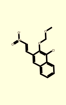 COCOc1c(C=C[N+](=O)[O-])cc2ccccc2c1Cl